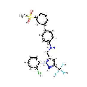 CS(=O)(=O)c1cccc(-c2ccc(NCc3cc(C(F)(F)F)nn3-c3ccccc3Cl)cc2)c1